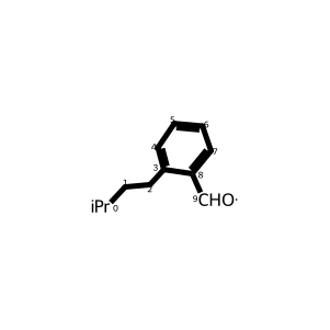 CC(C)CCc1ccccc1[C]=O